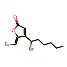 CCCCCC(Br)C1=CC(=O)O/C1=C\Br